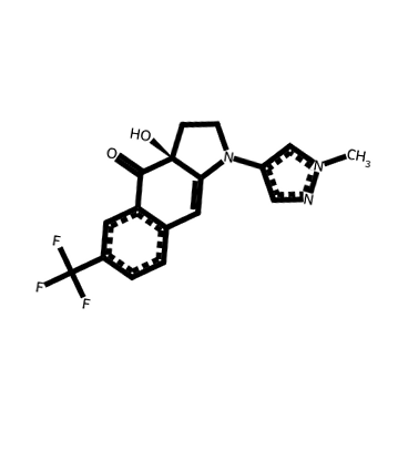 Cn1cc(N2CC[C@@]3(O)C(=O)c4cc(C(F)(F)F)ccc4C=C23)cn1